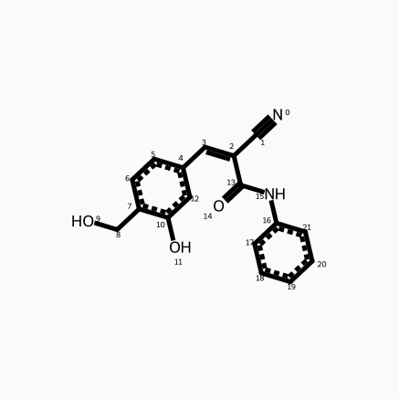 N#CC(=Cc1ccc(CO)c(O)c1)C(=O)Nc1ccccc1